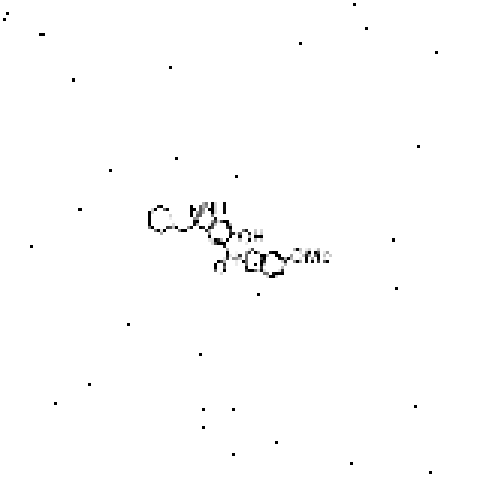 COc1ccc2c(c1)CN(C(=O)c1cc3c(CC4CCCCC4)n[nH]c3cc1O)C2